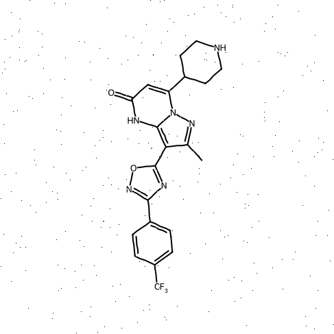 Cc1nn2c(C3CCNCC3)cc(=O)[nH]c2c1-c1nc(-c2ccc(C(F)(F)F)cc2)no1